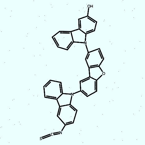 Oc1ccc2c(c1)c1ccccc1n2-c1ccc2oc3ccc(-n4c5ccccc5c5cc(N=C=S)ccc54)cc3c2c1